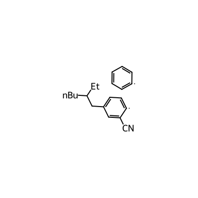 CCCCC(CC)Cc1cc[c]c(C#N)c1.[c]1ccccc1